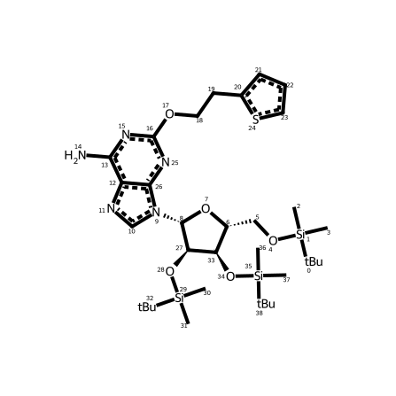 CC(C)(C)[Si](C)(C)OC[C@H]1O[C@@H](n2cnc3c(N)nc(OCCc4cccs4)nc32)[C@H](O[Si](C)(C)C(C)(C)C)[C@@H]1O[Si](C)(C)C(C)(C)C